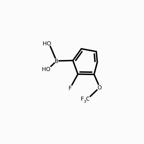 OB(O)c1cccc(OC(F)(F)F)c1F